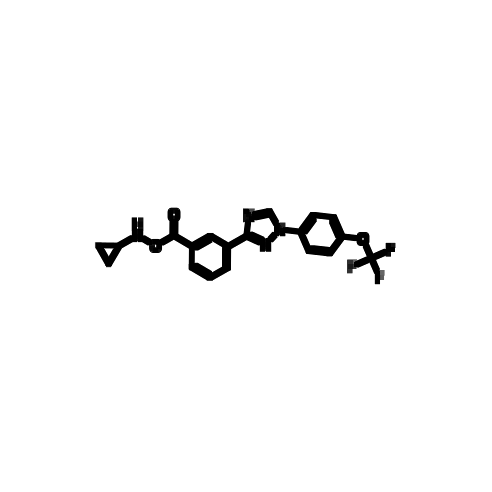 O=C(ONC1CC1)c1cccc(-c2ncn(-c3ccc(OC(F)(F)F)cc3)n2)c1